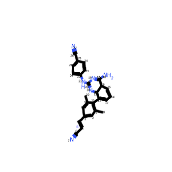 Cc1cc(/C=C/C#N)cc(C)c1C1=CC=CC2C(N)=NC(Nc3ccc(C#N)cc3)=NC12